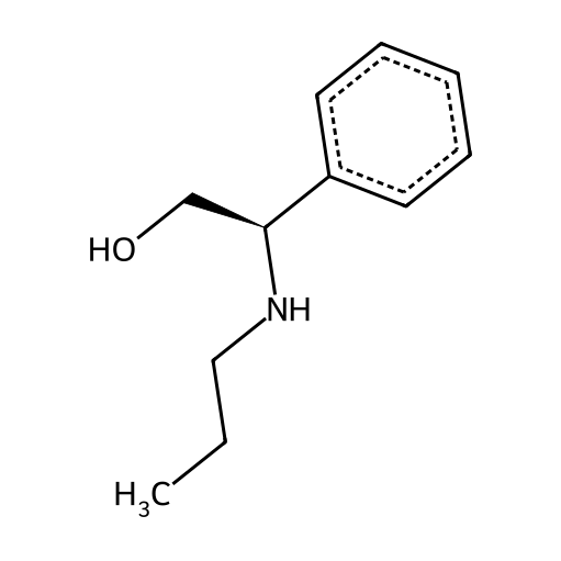 CCCN[C@@H](CO)c1ccccc1